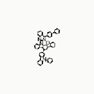 c1ccc(-c2ccc(-c3nc(-n4c5ccccc5c5c(-c6ccc7c8ccccc8n(-c8ccccc8)c7c6)cc6c7ccccc7oc6c54)nc4ccccc34)cc2)cc1